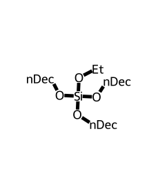 CCCCCCCCCCO[Si](OCC)(OCCCCCCCCCC)OCCCCCCCCCC